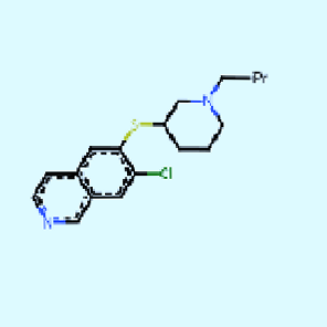 CC(C)CN1CCCC(Sc2cc3ccncc3cc2Cl)C1